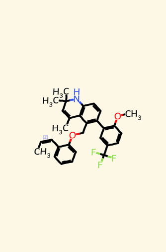 C/C=C\c1ccccc1OCc1c(-c2cc(C(F)(F)F)ccc2OC)ccc2c1C(C)=CC(C)(C)N2